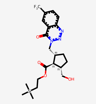 C[Si](C)(C)CCOC(=O)[C@@H]1[C@@H](CO)CC[C@H]1Cn1nnc2ccc(C(F)(F)F)cc2c1=O